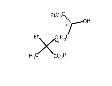 CCC(C)(O)C(=O)O.CCOC(=O)[C@@H](C)O